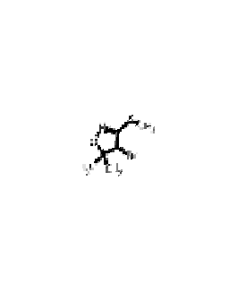 CSC1=NOC(C)(C)C1Br